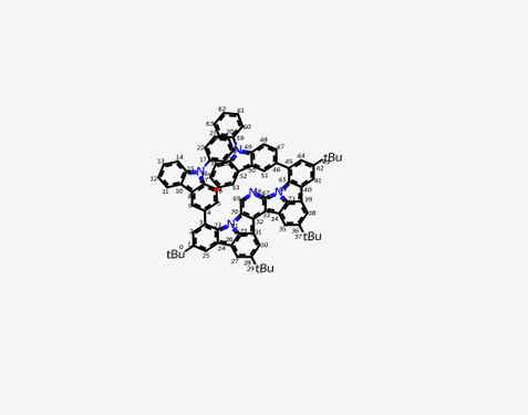 CC(C)(C)c1cc(-c2ccc3c(c2)c2ccccc2n3-c2ccccc2)c2c(c1)c1cc(C(C)(C)C)cc3c4c5c6cc(C(C)(C)C)cc7c8cc(C(C)(C)C)cc(-c9ccc%10c(c9)c9ccccc9n%10-c9ccccc9)c8n(c5ncc4n2c13)c76